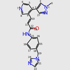 Cn1cc(-c2ccncc2/C=C/C(=O)Nc2ccc(Cn3ccnc3)cc2)cn1